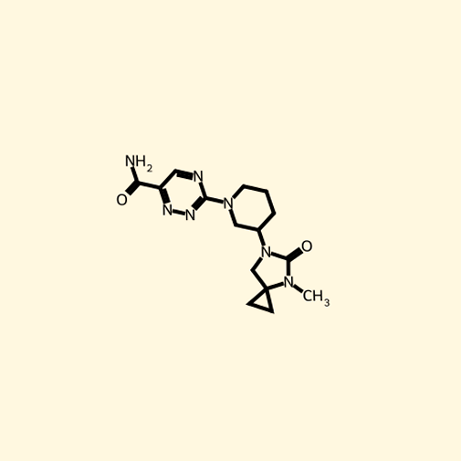 CN1C(=O)N(C2CCCN(c3ncc(C(N)=O)nn3)C2)CC12CC2